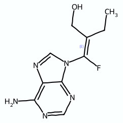 CC/C(CO)=C(\F)n1cnc2c(N)ncnc21